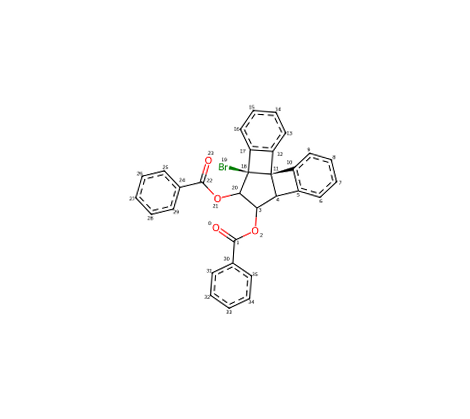 O=C(OC1C2c3ccccc3[C@@]23c2ccccc2[C@@]3(Br)C1OC(=O)c1ccccc1)c1ccccc1